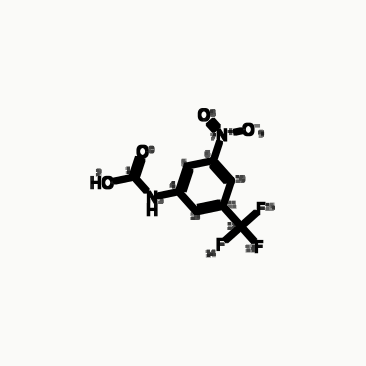 O=C(O)Nc1cc([N+](=O)[O-])cc(C(F)(F)F)c1